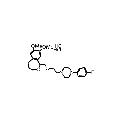 COc1cc2c(cc1OC)C(COCCN1CCN(c3ccc(F)cc3)CC1)OCCC2.Cl.Cl